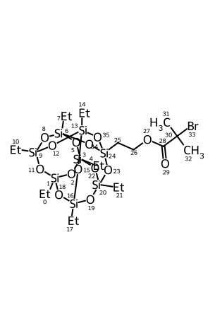 CC[Si]12O[Si]3(CC)O[Si]4(CC)O[Si](CC)(O1)O[Si]1(CC)O[Si](CC)(O2)O[Si](CC)(O3)O[Si](CCOC(=O)C(C)(C)Br)(O4)O1